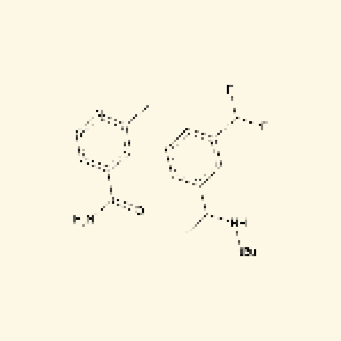 CC(NC(C)(C)C)c1cccc(C(F)F)c1.Cc1cc(C(N)=O)ccn1